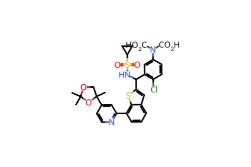 CC1(C)OCC(C)(c2ccnc(-c3cccc4cc(C(NS(=O)(=O)C5CC5)c5cc(N(C(=O)O)C(=O)O)ccc5Cl)sc34)c2)O1